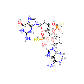 Nc1nc2c(ncn2[C@H]2C[C@H](OP(=O)(S)O[C@@H]3CC[C@H](n4cnc5c(N)ncnc54)O3)[C@@H](COP(=O)(O)S)O2)c(=O)[nH]1